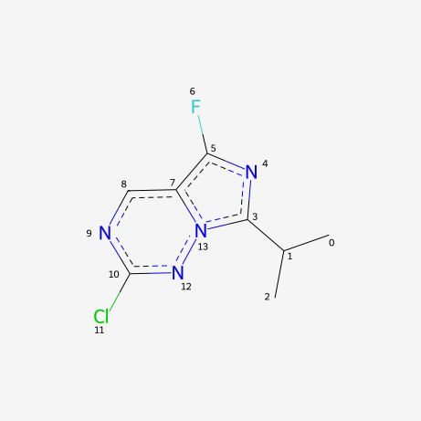 CC(C)c1nc(F)c2cnc(Cl)nn12